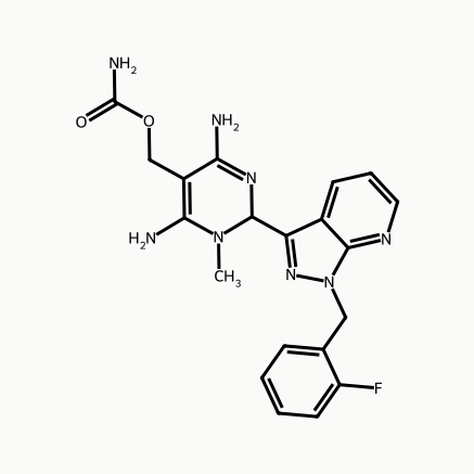 CN1C(N)=C(COC(N)=O)C(N)=NC1c1nn(Cc2ccccc2F)c2ncccc12